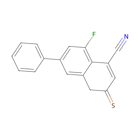 N#CC1=CC(=S)Cc2cc(-c3ccccc3)cc(F)c21